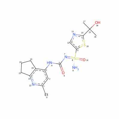 CCc1cc(NC(=O)N=[S@](N)(=O)c2cnc(C(C)(C)O)s2)c2c(n1)CCC2